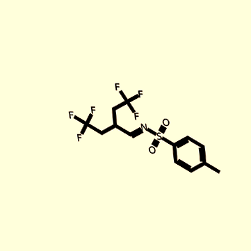 Cc1ccc(S(=O)(=O)N=CC(CC(F)(F)F)CC(F)(F)F)cc1